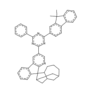 CC1(C)c2ccccc2-c2ccc(-c3nc(-c4ccccc4)nc(-c4cnc5c(c4)-c4ccccc4C54C5CC6CCCC4C(C6)C5)n3)cc21